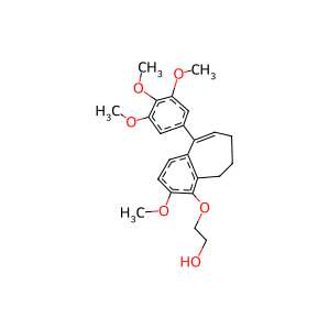 COc1cc(C2=CCCCc3c2ccc(OC)c3OCCO)cc(OC)c1OC